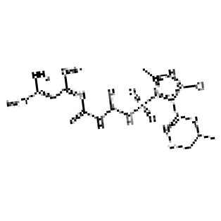 C=C(/N=C(\C=C(/N)OC)OC)NC(=O)NS(=O)(=O)c1c(C2=NOCC(C)O2)c(Cl)nn1C